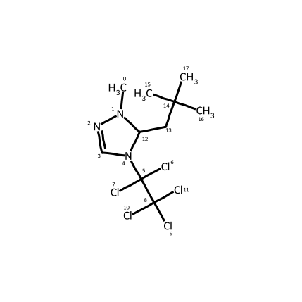 CN1N=CN(C(Cl)(Cl)C(Cl)(Cl)Cl)C1CC(C)(C)C